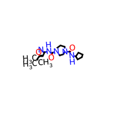 CC(C)(C)c1cc(NC(=O)N2CCCN(C(=O)NC3CCCC3)CC2)no1